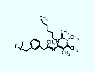 C=C1C(C)=C(/N=C(\C)Cc2cccc(CC(F)(F)F)c2)N(CCCCCC)C(=C)N1C